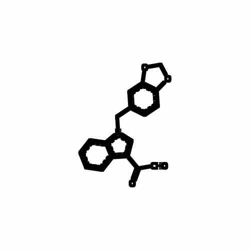 O=CC(=O)c1cn(Cc2ccc3c(c2)OCO3)c2ccccc12